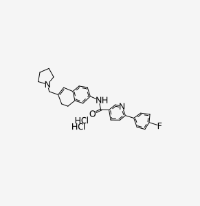 Cl.Cl.O=C(Nc1ccc2c(c1)CCC(CN1CCCC1)=C2)c1ccc(-c2ccc(F)cc2)nc1